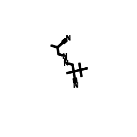 CC(C#N)CN=NCC(C)(C#N)C(C)(C)C